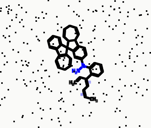 C=C/C(=C\C=C/C)c1ccccc1N(N)c1ccc2c(c1)C1(C3=C(C=CCC=C3)c3ccccc31)C1C=CCC=CC21